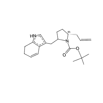 C=CC[C@H]1CCC(Cc2c[nH]c3c2C=CCC3)N1C(=O)OC(C)(C)C